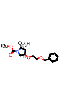 CC(C)(C)OC(=O)N1C[C@H](OCCOCc2ccccc2)C[C@H]1C(=O)O